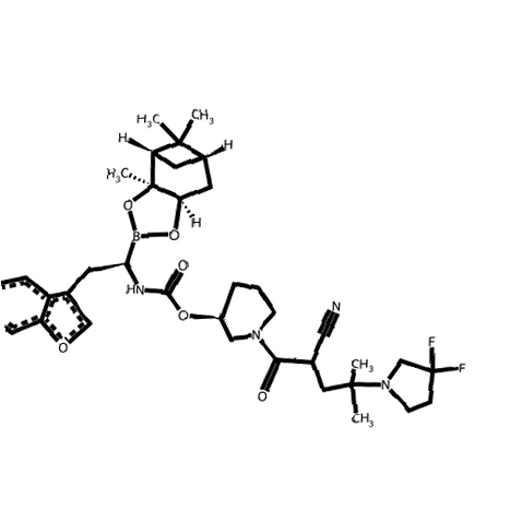 CC1(C)[C@@H]2C[C@H]3OB([C@H](Cc4coc5ccccc45)NC(=O)O[C@H]4CCCN(C(=O)C(C#N)CC(C)(C)N5CCC(F)(F)C5)C4)O[C@@]3(C)[C@H]1C2